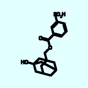 O=C(OCC12CC3CC(CC(O)(C3)C1)C2)c1cccc(S(=O)(=O)O)c1